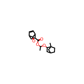 CC(OC(=O)C1CC2C=CC1C2=O)OC1CC2CCC1(C)C2